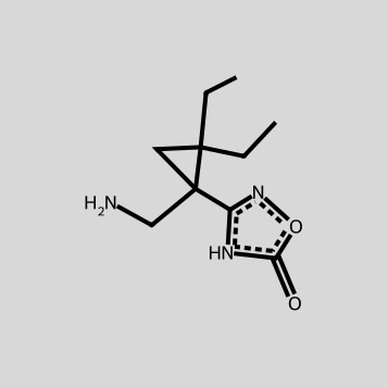 CCC1(CC)CC1(CN)c1noc(=O)[nH]1